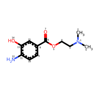 CN(C)CCOC(=O)c1ccc(N)c(O)c1